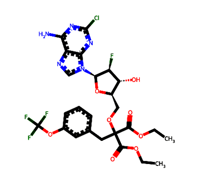 CCOC(=O)C(Cc1cccc(OC(F)(F)F)c1)(OC[C@H]1O[C@@H](n2cnc3c(N)nc(Cl)nc32)[C@@H](F)[C@@H]1O)C(=O)OCC